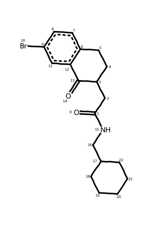 O=C(CC1CCc2ccc(Br)cc2C1=O)NCC1CCCCC1